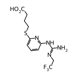 NC(=NCC(F)(F)F)Nc1cccc(SCCCC(=O)O)n1